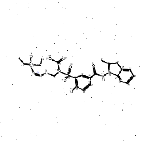 CC[N+]([O-])(CC)/N=N\OCN(C(=O)O)S(=O)(=O)c1cc(C(=O)NN2c3ccccc3CC2C)ccc1Cl